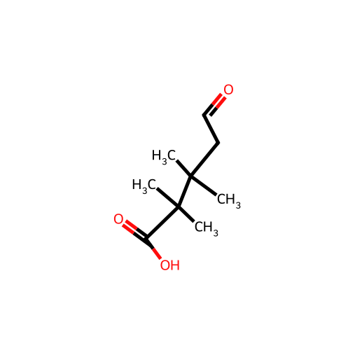 CC(C)(CC=O)C(C)(C)C(=O)O